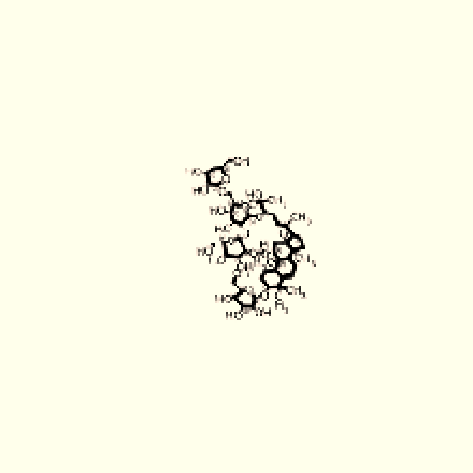 C[C@H](CC[C@@H](O[C@@H]1O[C@H](CO[C@H]2O[C@H](CO)C[C@H](O)[C@H]2O)[C@@H](O)[C@H](O)[C@H]1O[C@H]1O[C@@H](CO)[C@H](O)[C@@H](O)[C@@H]1O)C(C)(C)O)C1CC[C@@]2(C)C3CC=C4C(CC[C@H](O[C@@H]5O[C@H](CO)[C@@H](O)[C@H](O)[C@H]5O)C4(C)C)[C@]3(C)[C@H](O)C[C@]12C